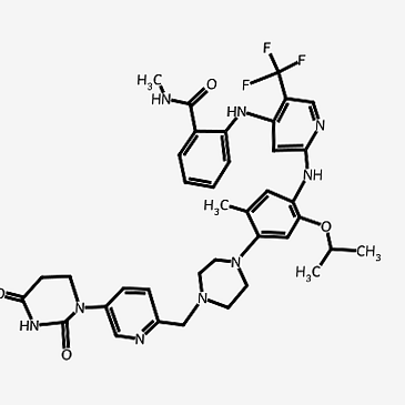 CNC(=O)c1ccccc1Nc1cc(Nc2cc(C)c(N3CCN(Cc4ccc(N5CCC(=O)NC5=O)cn4)CC3)cc2OC(C)C)ncc1C(F)(F)F